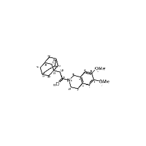 COc1cc2c(cc1OC)CN(C(=O)CC13CC4CC(CC(C4)C1)C3)CC2